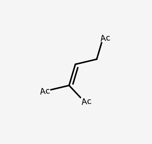 CC(=O)CC=C(C(C)=O)C(C)=O